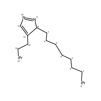 CC(C)CCCCCCCC1N=NC=C1CCC(C)C